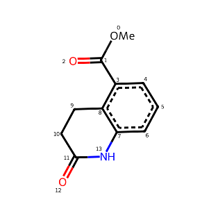 COC(=O)c1cccc2c1CCC(=O)N2